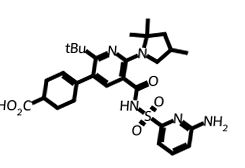 CC1CN(c2nc(C(C)(C)C)c(C3=CCC(C(=O)O)CC3)cc2C(=O)NS(=O)(=O)c2cccc(N)n2)C(C)(C)C1